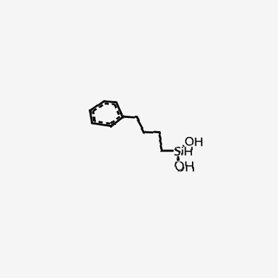 O[SiH](O)CCCCc1ccccc1